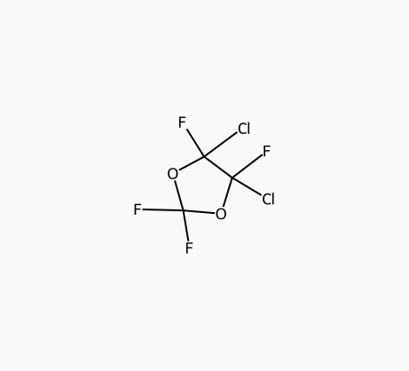 FC1(F)OC(F)(Cl)C(F)(Cl)O1